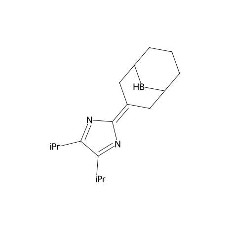 CC(C)C1=NC(=C2CC3BC(CCC3)C2)N=C1C(C)C